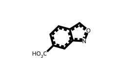 O=C(O)c1ccc2conc2c1